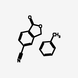 Cc1ccccc1.N#Cc1ccc2c(c1)COC2=O